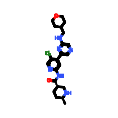 C[C@H]1CC[C@H](C(=O)Nc2cc(-c3cncc(NCC4CCOCC4)n3)c(Cl)cn2)CN1